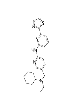 CCN(Cc1ccc(Nc2cccc(-c3nccs3)n2)nc1)C1CCCCC1